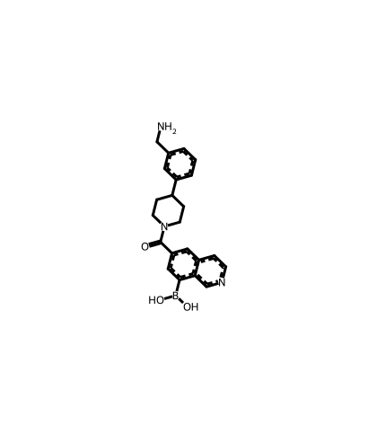 NCc1cccc(C2CCN(C(=O)c3cc(B(O)O)c4cnccc4c3)CC2)c1